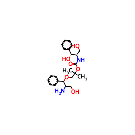 CC(C)(CO[C@H](c1ccccc1)[C@H](N)CO)OC(=O)N[C@H](CO)[C@H](O)c1ccccc1